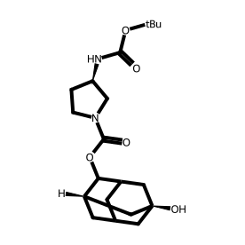 CC(C)(C)OC(=O)N[C@@H]1CCN(C(=O)OC2C3CC4C[C@H]2C[C@@](O)(C4)C3)C1